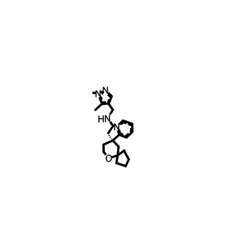 Cc1c(CNCC[C@@]2(c3ccccn3)CCOC3(CCCC3)C2)cnn1C